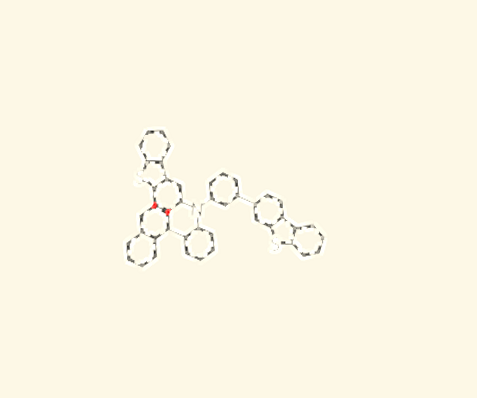 c1cc(-c2ccc3c(c2)sc2ccccc23)cc(N(c2ccc3sc4ccccc4c3c2)c2ccccc2-c2cccc3ccccc23)c1